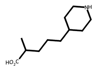 CC(CCCC1CCNCC1)C(=O)O